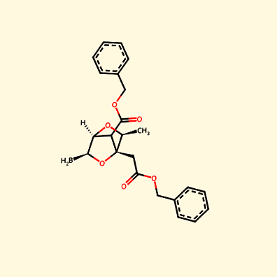 B[C@@H]1O[C@]2(CC(=O)OCc3ccccc3)C(C(=O)OCc3ccccc3)[C@@H]1O[C@H]2C